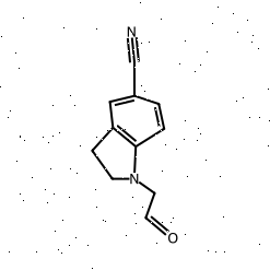 N#Cc1ccc2c(c1)CCN2CC=O